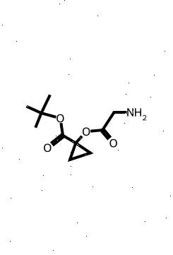 CC(C)(C)OC(=O)C1(OC(=O)CN)CC1